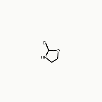 ClC1NCCO1